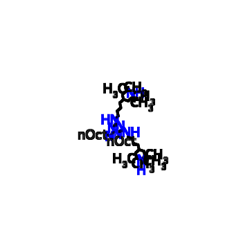 CCCCCCCCN(CCCCCCCC)c1nc(NCCCCC2CC(C)(C)NC(C)(C)C2)nc(NCCCCC2CC(C)(C)NC(C)(C)C2)n1